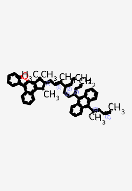 C=C/C=C(/C=C\C(=C\C=C)c1c2ccccc2c(/C(C)=C/C=C\C)c2ccccc12)C(\C)=C\C=C1/C(C)c2c(c3oc4ccccc4c3c3ccccc23)C1(C)C